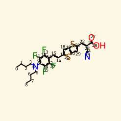 CCCCN(CCCC)c1c(F)c(F)c(/C=C/c2cc3sc(/C=C(\C#N)C(=O)O)cc3s2)c(F)c1F